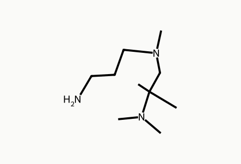 CN(CCCN)CC(C)(C)N(C)C